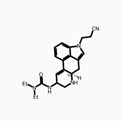 CCN(CC)C(=O)NC1C=C2c3cccc4c3c(cn4CCC#N)C[C@H]2NC1